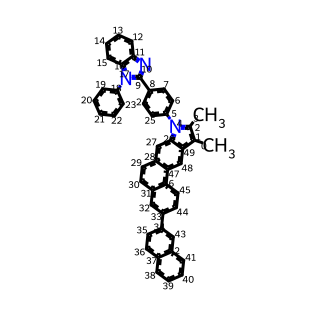 Cc1c(C)n(-c2ccc(-c3nc4ccccc4n3-c3ccccc3)cc2)c2cc3ccc4cc(-c5ccc6ccccc6c5)ccc4c3cc12